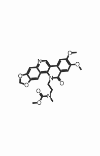 COC(=O)N(C)CCn1c(=O)c2cc(OC)c(OC)cc2c2cnc3cc4c(cc3c21)OCO4